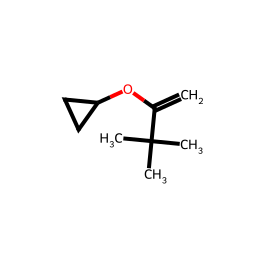 C=C(OC1CC1)C(C)(C)C